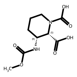 COC(=O)N[C@@H]1CCCN(C(=O)O)[C@@H]1C(=O)O